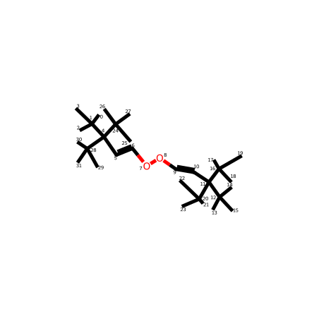 CC(C)(C)C(C=COOC=CC(C(C)(C)C)(C(C)(C)C)C(C)(C)C)(C(C)(C)C)C(C)(C)C